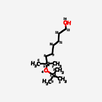 C[Si](C)(C)O[Si](C)(C)CCCCCCO